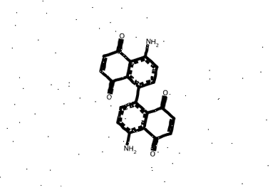 Nc1ccc(-c2ccc(N)c3c2C(=O)C=CC3=O)c2c1C(=O)C=CC2=O